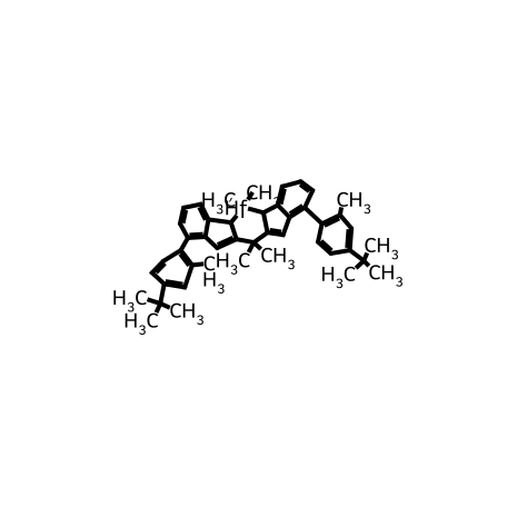 Cc1cc(C(C)(C)C)ccc1-c1cccc2c1C=C1[CH]2[Hf]([CH3])([CH3])[CH]2C(=Cc3c(-c4ccc(C(C)(C)C)cc4C)cccc32)C1(C)C